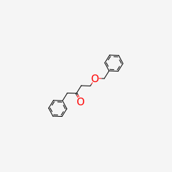 O=C(CCOCc1ccccc1)Cc1ccccc1